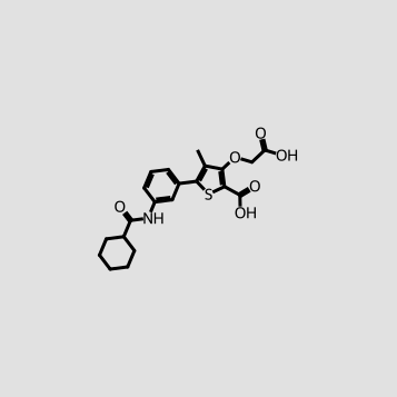 Cc1c(-c2cccc(NC(=O)C3CCCCC3)c2)sc(C(=O)O)c1OCC(=O)O